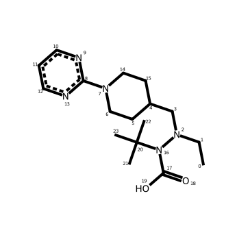 CCN(CC1CCN(c2ncccn2)CC1)N(C(=O)O)C(C)(C)C